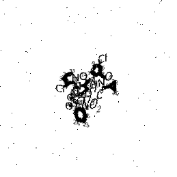 CC(NC(=O)c1cc(Cl)ccc1NC(=O)C1CC(OS(=O)(=O)c2ccccc2[N+](=O)[O-])=NN1c1ncccc1Cl)C1CC1